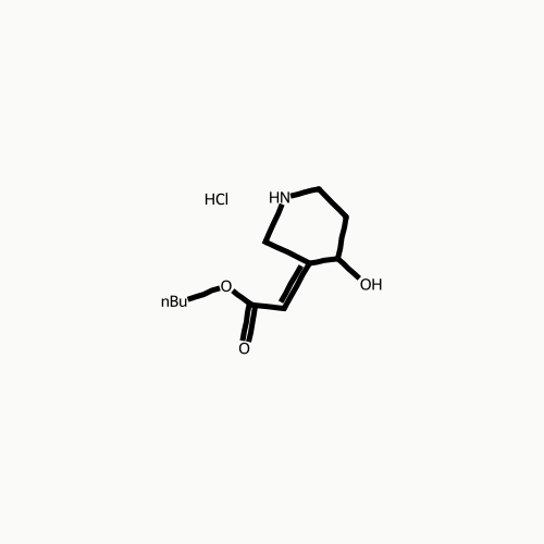 CCCCOC(=O)C=C1CNCCC1O.Cl